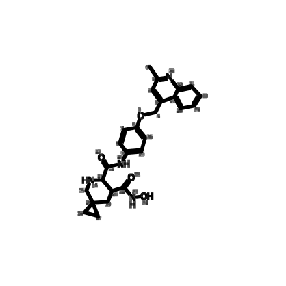 Cc1cc(COc2ccc(NC(=O)C3NCC4(CC4)CC3C(=O)NO)cc2)c2ccccc2n1